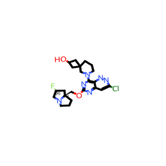 OC1CC2(CCCN(c3nc(OC[C@@]45CCCN4C[C@H](F)C5)nc4cc(Cl)nnc34)C2)C1